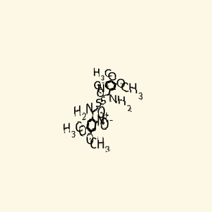 COc1cc(C(N)CSSCC(N)c2cc(OC)c(OC)cc2[N+](=O)[O-])c([N+](=O)[O-])cc1OC